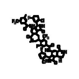 Cc1cc(C(=O)Nc2cc3c(c4c2C(c2cc(F)ccc2Cl)NC4=O)CC(c2c(F)cc(C(=O)Nc4cc5c(c6c4C(c4cc(F)ccc4Cl)NC6=O)NCCNC5=O)cc2C(F)(F)F)CN(C)C3=O)cc(C(F)(F)F)c1